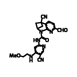 COCCNc1cc(NC(=O)N2c3nc(C=O)ccc3C3(C#N)CC2C3)ncc1C#N